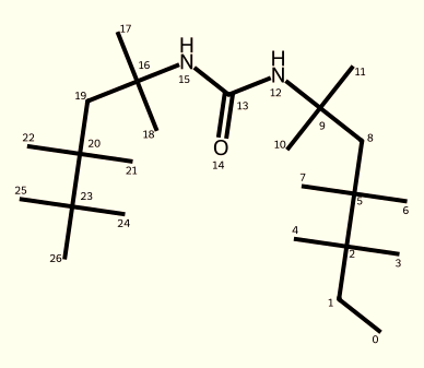 CCC(C)(C)C(C)(C)CC(C)(C)NC(=O)NC(C)(C)CC(C)(C)C(C)(C)C